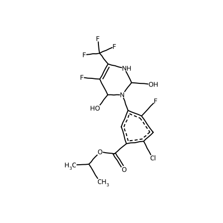 CC(C)OC(=O)c1cc(N2C(O)NC(C(F)(F)F)=C(F)C2O)c(F)cc1Cl